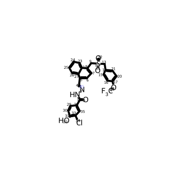 O=C(N/N=C/c1ccc(CS(=O)(=O)Cc2ccc(OC(F)(F)F)cc2)c2ccccc12)c1ccc(O)c(Cl)c1